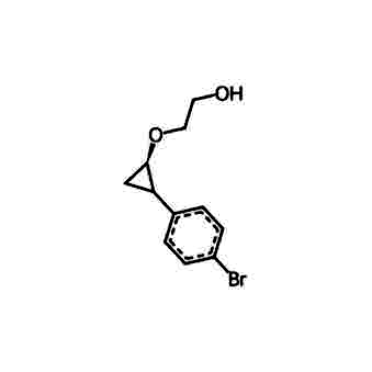 OCCO[C@@H]1CC1c1ccc(Br)cc1